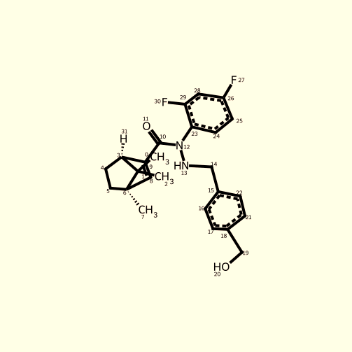 CC1(C)[C@H]2CC[C@]1(C)C=C2C(=O)N(NCc1ccc(CO)cc1)c1ccc(F)cc1F